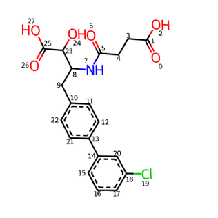 O=C(O)CCC(=O)NC(Cc1ccc(-c2cccc(Cl)c2)cc1)C(O)C(=O)O